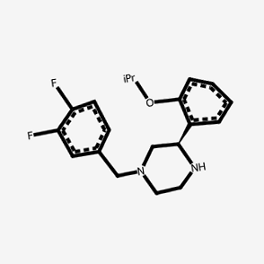 CC(C)Oc1ccccc1[C@@H]1CN(Cc2ccc(F)c(F)c2)CCN1